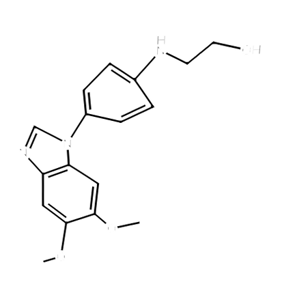 COc1cc2ncn(-c3ccc(NCCO)cc3)c2cc1OC